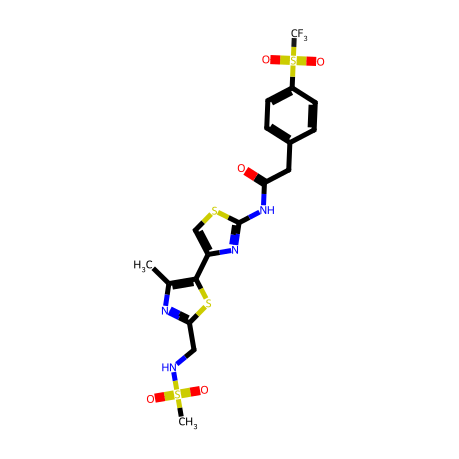 Cc1nc(CNS(C)(=O)=O)sc1-c1csc(NC(=O)Cc2ccc(S(=O)(=O)C(F)(F)F)cc2)n1